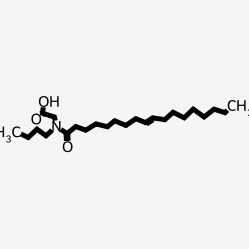 CCCCCCCCC=CCCCCCCCC(=O)N(CCCC)CC(=O)O